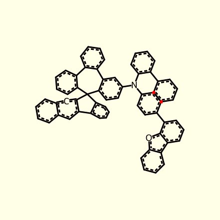 c1ccc(-c2ccccc2N(c2ccc(-c3cccc4c3oc3ccccc34)cc2)c2ccc3c(c2)-c2ccccc2-c2ccccc2C32c3ccccc3-c3cc4ccccc4cc32)cc1